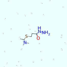 CC(SCCC(=O)NN)N(C)C